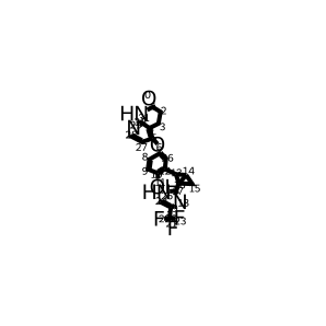 O=C1CCc2c(Oc3ccc(O)c(C4C5CC54c4nc(C(F)(F)F)c[nH]4)c3)ccnc2N1